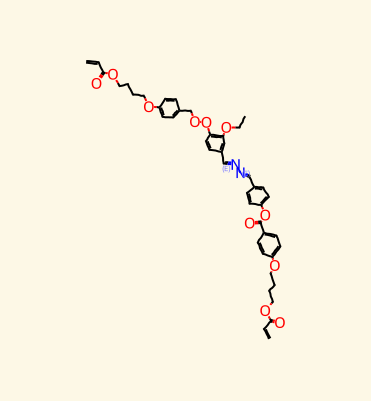 C=CC(=O)OCCCCOc1ccc(COOc2ccc(/C=N/N=C/c3ccc(OC(=O)c4ccc(OCCCCOC(=O)C=C)cc4)cc3)cc2OCC)cc1